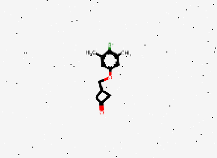 Cc1cc(OCC2CC(=O)C2)cc(C)c1Br